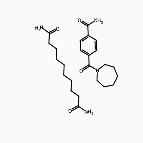 NC(=O)CCCCCCCCC(N)=O.NC(=O)c1ccc(C(=O)N2CCCCCC2)cc1